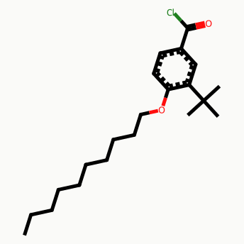 CCCCCCCCCCOc1ccc(C(=O)Cl)cc1C(C)(C)C